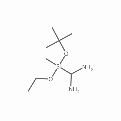 CCO[Si](C)(OC(C)(C)C)C(N)N